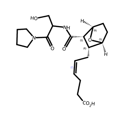 O=C(O)CC/C=C\C[C@@H]1[C@H](C(=O)NC(CO)C(=O)N2CCCC2)[C@H]2CC[C@@H]1O2